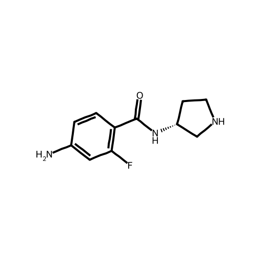 Nc1ccc(C(=O)N[C@@H]2CCNC2)c(F)c1